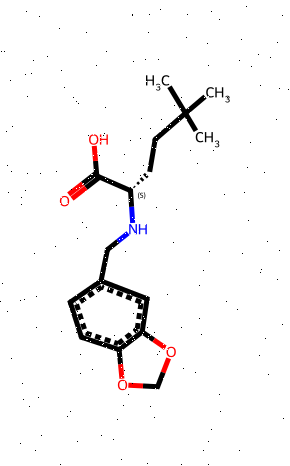 CC(C)(C)CC[C@H](NCc1ccc2c(c1)OCO2)C(=O)O